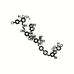 CC1(C)CCC(CNCCNc2ccc(C(=O)NS(=O)(=O)c3ccc(NC[C@H]4CC[C@@H](N5CCN(Cc6cc(Br)c7c(c6)C(=O)N(C6CCC(=O)NC6=O)C7)CC5)CC4)c([NH+]([O-])O)c3)c(Oc3cnc4[nH]ccc4c3)c2)=C(c2ccc(Cl)cc2)C1